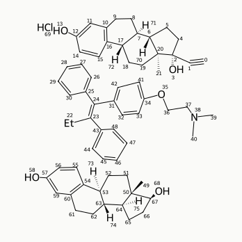 C#C[C@]1(O)CC[C@H]2[C@@H]3CCc4cc(O)ccc4[C@H]3CC[C@@]21C.CC/C(=C(\c1ccccc1)c1ccc(OCCN(C)C)cc1)c1ccccc1.C[C@]12CC[C@@H]3c4ccc(O)cc4CC[C@H]3[C@@H]1CC[C@@H]2O.Cl